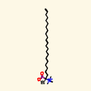 C=CCCCCCCCCC=CCCCCCCCCCCC(CC)(P(=O)=O)[N+](C)(C)C